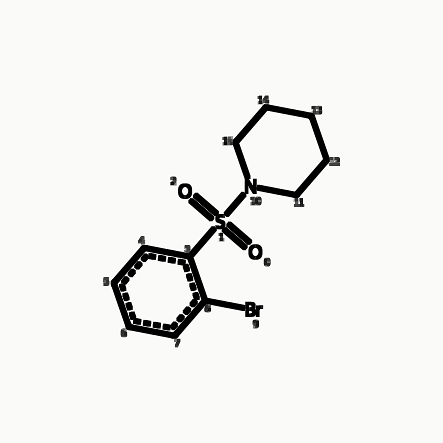 O=S(=O)(c1ccccc1Br)N1CCCCC1